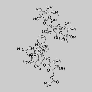 CC(=O)OCC1O[C@@H](O[C@H]2C[C@H]3[C@@H]4CC=C5C[C@@H](O[C@@H]6OC(CO)[C@@H](O[C@@H]7OC(C)[C@H](O)C(O)[C@H]7O)[C@H](O)C6O[C@@H]6OC(C)[C@H](O)C(O)[C@@H]6O)CC[C@]5(C)[C@H]4CC(=O)[C@]3(C)[C@H]2[C@H](C)[C@@H](O)CCC(C)C)C(O)[C@@H](O)[C@@H]1O